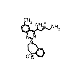 Cc1ccc2nc(N3CCS(=O)(=O)c4ccccc4C3)nc(C(N)CC(F)CN)c2c1